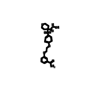 NC(=O)c1cccc(OCCOc2ccc(S(=O)(=O)C3(C(=O)NO)CCOCC3)cc2)c1